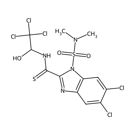 CN(C)S(=O)(=O)n1c(C(=S)NC(O)C(Cl)(Cl)Cl)nc2cc(Cl)c(Cl)cc21